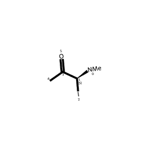 CN[C@@H](I)C(C)=O